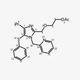 CC(=O)OCCOCc1nc(C(C)C)c(Sc2ccccc2)n1Cc1ccccn1